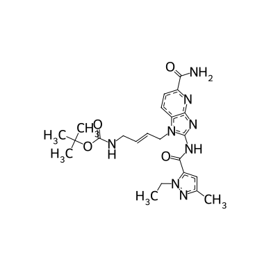 CCn1nc(C)cc1C(=O)Nc1nc2nc(C(N)=O)ccc2n1C/C=C/CNC(=O)OC(C)(C)C